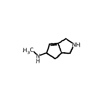 CNC1C=C2CNCC2C1